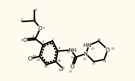 CC(C)OC(=O)c1cc(NC(=O)N2CCOCN2)c(F)cc1Cl